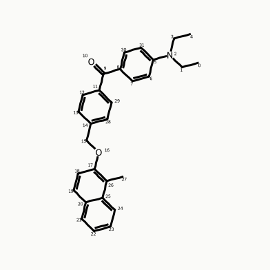 CCN(CC)c1ccc(C(=O)c2ccc(COc3ccc4ccccc4c3C)cc2)cc1